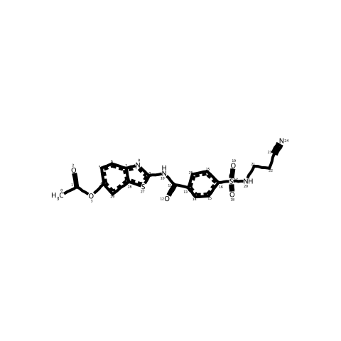 CC(=O)Oc1ccc2nc(NC(=O)c3ccc(S(=O)(=O)NCCC#N)cc3)sc2c1